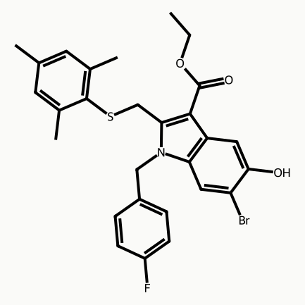 CCOC(=O)c1c(CSc2c(C)cc(C)cc2C)n(Cc2ccc(F)cc2)c2cc(Br)c(O)cc12